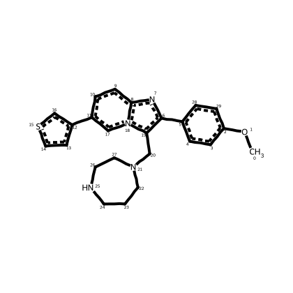 COc1ccc(-c2nc3ccc(-c4ccsc4)cn3c2CN2CCCNCC2)cc1